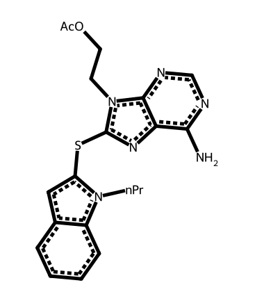 CCCn1c(Sc2nc3c(N)ncnc3n2CCOC(C)=O)cc2ccccc21